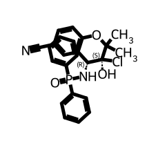 CC1(C)Oc2ccc(C#N)cc2[C@@H](NP(=O)(c2ccccc2)c2ccccc2)[C@]1(O)Cl